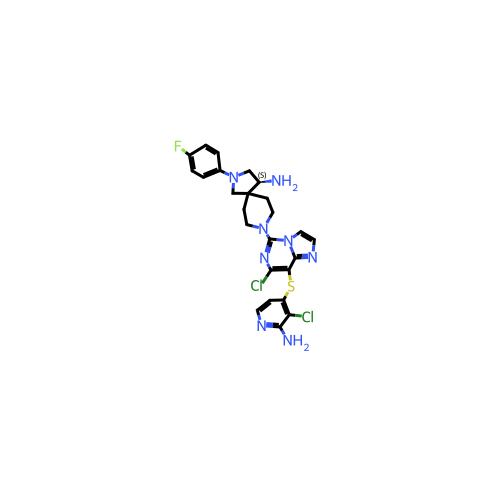 Nc1nccc(Sc2c(Cl)nc(N3CCC4(CC3)CN(c3ccc(F)cc3)C[C@H]4N)n3ccnc23)c1Cl